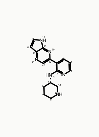 c1cnc(N[C@H]2CCCNC2)c(-c2cnc3cc[nH]c3n2)c1